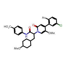 COc1cn(C(CC2CCC(OC)CC2)C(=O)Nc2ccc(C(=O)O)cc2)c(=O)cc1-c1cc(Cl)ccc1C(C)=O